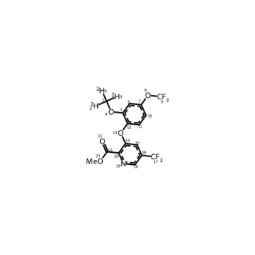 [2H]C([2H])([2H])Oc1cc(OC(F)(F)F)ccc1Oc1cc(C(F)(F)F)cnc1C(=O)OC